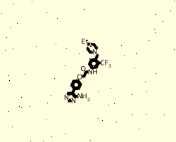 CCN1CCN(Cc2ccc(NC(=O)COc3ccc(-c4cncnc4N)cc3)cc2C(F)(F)F)CC1